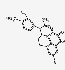 NC(=O)C(c1ccc(C(=O)O)c(Cl)c1)C1CCc2cc(Br)cc3[nH]c(=O)c(=O)n1c23